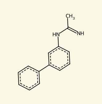 CC(=N)Nc1cccc(-c2ccccc2)c1